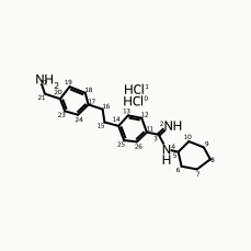 Cl.Cl.N=C(NC1CCCCC1)c1ccc(CCc2ccc(CN)cc2)cc1